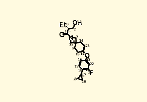 CC[C@H](CO)C(=O)N1CC2(CCC(Oc3ccc(C4CC4)c(F)c3)CC2)C1